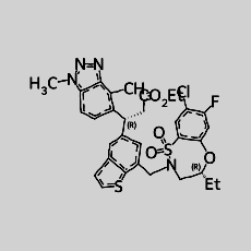 CCOC(=O)C[C@H](c1cc(CN2C[C@@H](CC)Oc3cc(F)c(Cl)cc3S2(=O)=O)c2sccc2c1)c1ccc2c(nnn2C)c1C